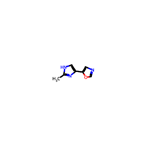 Cc1nc(-c2cnco2)c[nH]1